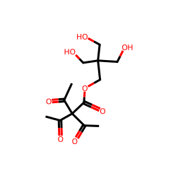 CC(=O)C(C(C)=O)(C(C)=O)C(=O)OCC(CO)(CO)CO